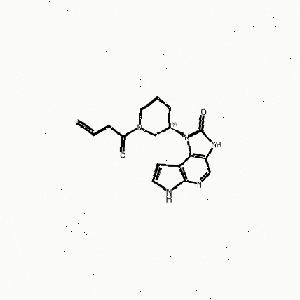 C=CCC(=O)N1CCC[C@@H](n2c(=O)[nH]c3cnc4[nH]ccc4c32)C1